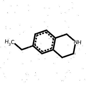 CCc1ccc2c(c1)C[C]NC2